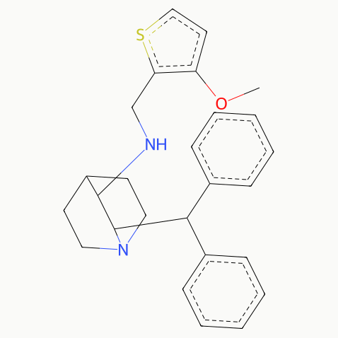 COc1ccsc1CNC1C2CCN(CC2)C1C(c1ccccc1)c1ccccc1